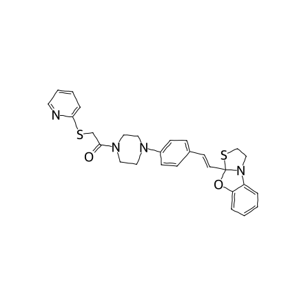 O=C(CSc1ccccn1)N1CCN(c2ccc(/C=C/C34Oc5ccccc5N3CCS4)cc2)CC1